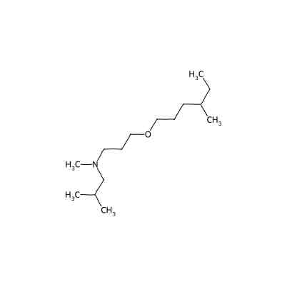 CCC(C)CCCOCCCN(C)CC(C)C